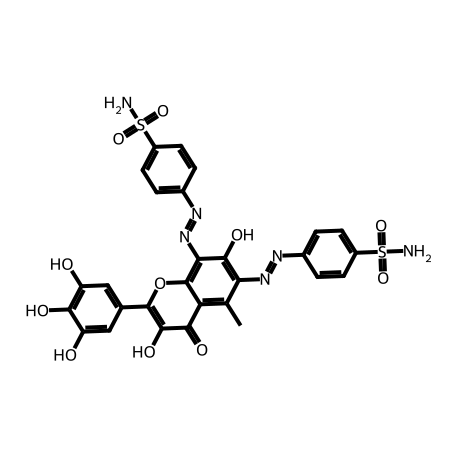 Cc1c(N=Nc2ccc(S(N)(=O)=O)cc2)c(O)c(N=Nc2ccc(S(N)(=O)=O)cc2)c2oc(-c3cc(O)c(O)c(O)c3)c(O)c(=O)c12